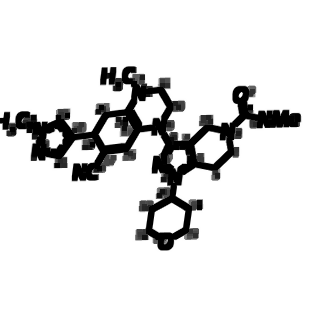 CNC(=O)N1CCc2c(c(N3CCN(C)C4=C3C=C(C#N)C(c3cnn(C)c3)C4)nn2C2CCOCC2)C1